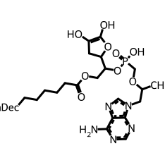 CCCCCCCCCCCCCCCC(=O)OCC(OP(=O)(O)COC(C)Cn1cnc2c(N)ncnc21)C1CC(O)=C(O)O1